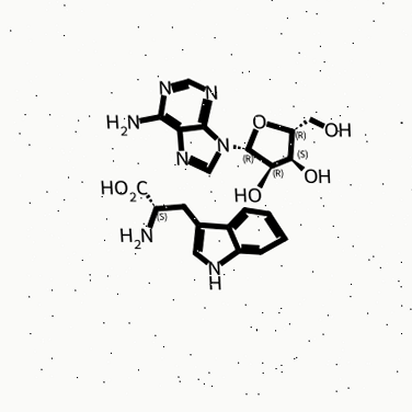 N[C@@H](Cc1c[nH]c2ccccc12)C(=O)O.Nc1ncnc2c1ncn2[C@@H]1O[C@H](CO)[C@@H](O)[C@H]1O